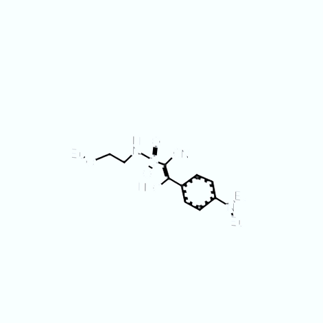 CCOCCNS(=O)(=O)/C(C#N)=C(\C)c1ccc(N(CC)CC)cc1